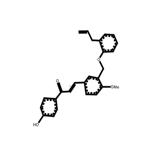 C=CCc1ccccc1OCc1cc(/C=C/C(=O)c2ccc(O)cc2)ccc1OC